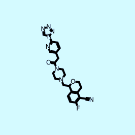 N#Cc1c(F)ccc2c1CCOC2CN1CCN(C(=O)Cc2ccc(-n3cnnn3)nc2)CC1